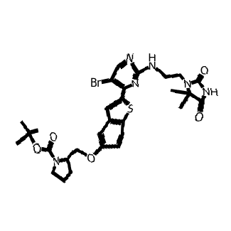 CC(C)(C)OC(=O)N1CCCC1COc1ccc2sc(-c3nc(NCCN4C(=O)NC(=O)C4(C)C)ncc3Br)cc2c1